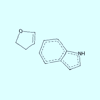 C1=COCC1.c1ccc2[nH]ccc2c1